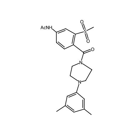 CC(=O)Nc1ccc(C(=O)N2CCN(c3cc(C)cc(C)c3)CC2)c(S(C)(=O)=O)c1